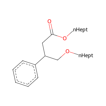 CCCCCCCOCC(CC(=O)OCCCCCCC)c1ccccc1